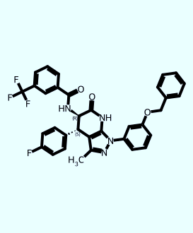 Cc1nn(-c2cccc(OCc3ccccc3)c2)c2c1[C@H](c1ccc(F)cc1)[C@@H](NC(=O)c1cccc(C(F)(F)F)c1)C(=O)N2